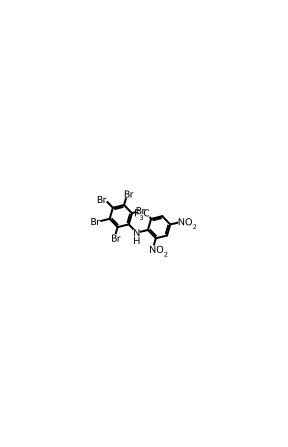 O=[N+]([O-])c1cc([N+](=O)[O-])c(Nc2c(Br)c(Br)c(Br)c(Br)c2Br)c(C(F)(F)F)c1